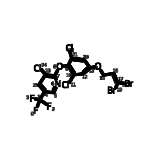 FC(F)(F)c1cnc(Oc2c(Cl)cc(OCC=C(Br)Br)cc2Cl)c(Cl)c1